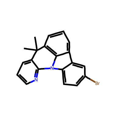 CC1(C)c2cccnc2-n2c3ccc(Br)cc3c3cccc1c32